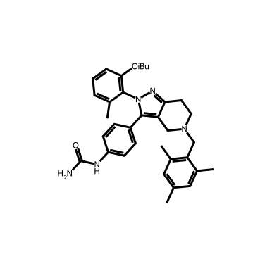 Cc1cc(C)c(CN2CCc3nn(-c4c(C)cccc4OCC(C)C)c(-c4ccc(NC(N)=O)cc4)c3C2)c(C)c1